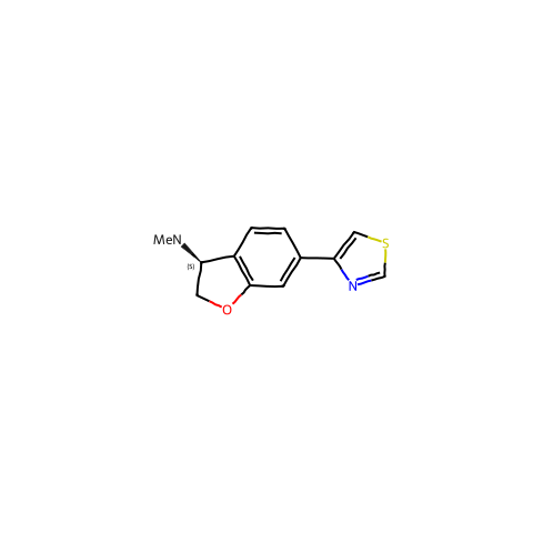 CN[C@@H]1COc2cc(-c3cscn3)ccc21